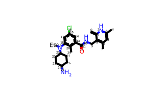 C=C1NC(C)=CC(C)=C1CNC(=O)c1cc(Cl)cc(N(CC)C2CCC(N)CC2)c1C